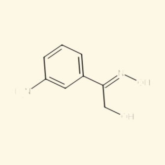 Nc1cccc(C(CO)=NO)c1